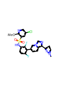 COc1ncc(Cl)cc1S(=O)(=O)Nc1ccc(F)c(-c2ccc3c(-c4ccn(C)n4)ncn3c2)c1F